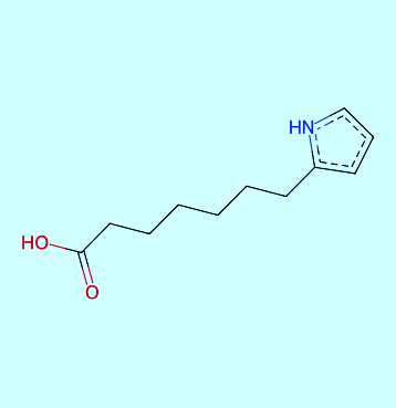 O=C(O)CCCCCCc1ccc[nH]1